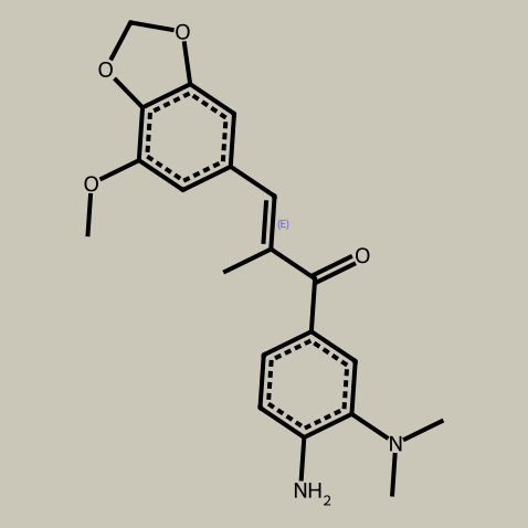 COc1cc(/C=C(\C)C(=O)c2ccc(N)c(N(C)C)c2)cc2c1OCO2